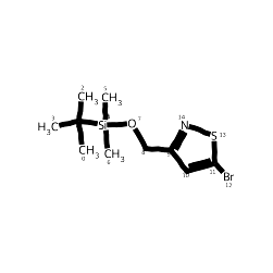 CC(C)(C)[Si](C)(C)OCc1cc(Br)sn1